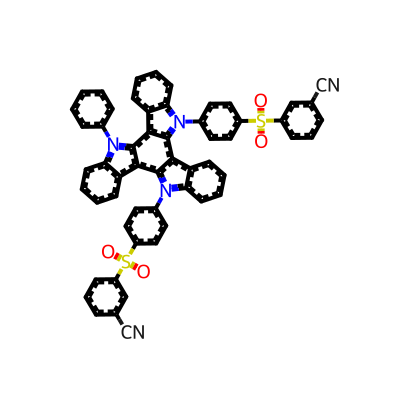 N#Cc1cccc(S(=O)(=O)c2ccc(-n3c4ccccc4c4c5c(c6ccccc6n5-c5ccccc5)c5c(c6ccccc6n5-c5ccc(S(=O)(=O)c6cccc(C#N)c6)cc5)c43)cc2)c1